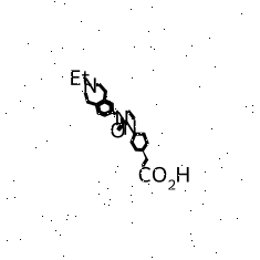 CCN1CCc2ccc(N3CCN([C@H]4CC[C@H](CCC(=O)O)CC4)C3=O)cc2CC1